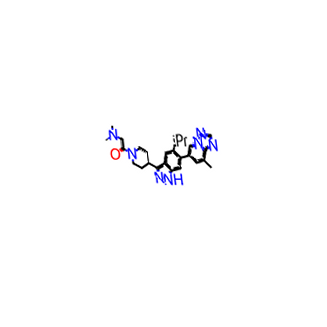 Cc1cc(-c2cc3[nH]nc(C4CCN(C(=O)CN(C)C)CC4)c3cc2C(C)C)cn2ncnc12